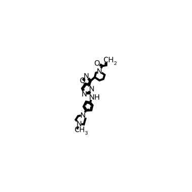 C=CC(=O)N1CCCC(c2noc3cnc(Nc4ccc(N5CCN(C)CC5)cc4)nc23)C1